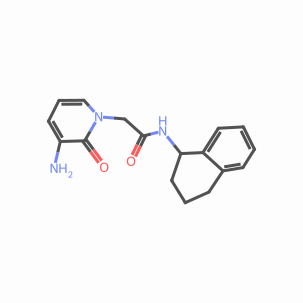 Nc1cccn(CC(=O)NC2CCCc3ccccc32)c1=O